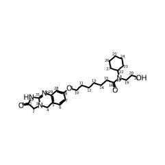 O=C1CN2Cc3ccc(OCCCCCCC(=O)N(CCO)C4CCCCC4)cc3N=C2N1